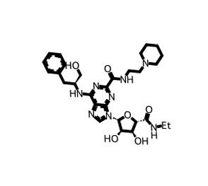 CCNC(=O)[C@H]1O[C@@H](n2cnc3c(N[C@H](CO)Cc4ccccc4)nc(C(=O)NCCN4CCCCC4)nc32)[C@H](O)[C@@H]1O